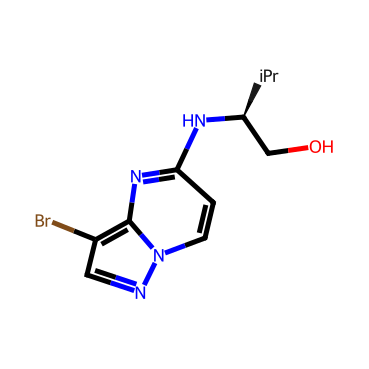 CC(C)[C@@H](CO)Nc1ccn2ncc(Br)c2n1